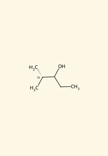 [CH2][C@@H](C)C(O)CC